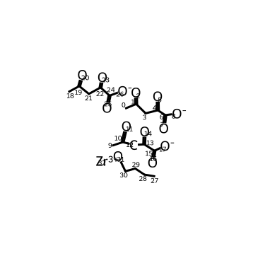 CC(=O)CC(=O)C(=O)[O-].CC(=O)CC(=O)C(=O)[O-].CC(=O)CC(=O)C(=O)[O-].CCCC[O][Zr+3]